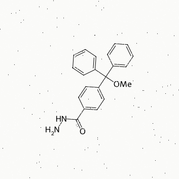 COC(c1ccccc1)(c1ccccc1)c1ccc(C(=O)NN)cc1